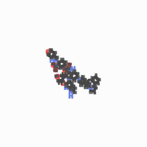 Cc1ccccc1[C@@H]1CCCN1C1CC2(CCN(c3ccc(C(=O)NS(=O)(=O)c4ccc(NCC5CCOCC5)c([N+](=O)[O-])c4)c(N4C[C@H]5COC[C@@H]5Oc5nc6[nH]ccc6cc54)c3)CC2)C1